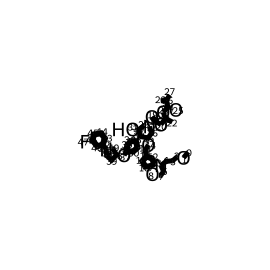 COCCCN1CCOc2ccc(CO[C@H]3CN(C(=O)OC(C)OC(=O)C(C)C)C[C@@H](O)[C@@H]3c3ccc(O[C@H]4CCN(c5cccc(F)c5)C4)cc3)cc21